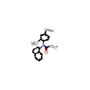 COc1ccc(N(C(=O)C(=O)O)c2cccc3ccccc23)c(C(=O)O)c1